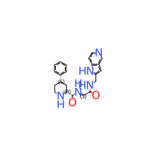 C[C@H](NC(=O)[C@H]1C[C@@H](c2ccccc2)CCN1)C(=O)NCc1cc2cnccc2[nH]1